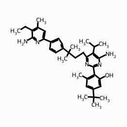 CCc1c(C)cc(-c2ccc(C(C)(C)CCc3nc(-c4c(C)cc(C(C)(C)C)cc4O)nc(N)c3C(C)C)cc2)nc1N